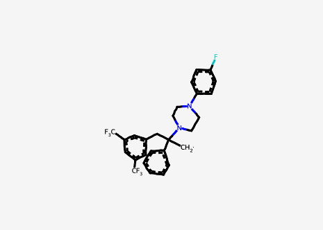 [CH2]C(Cc1cc(C(F)(F)F)cc(C(F)(F)F)c1)(c1ccccc1)N1CCN(c2ccc(F)cc2)CC1